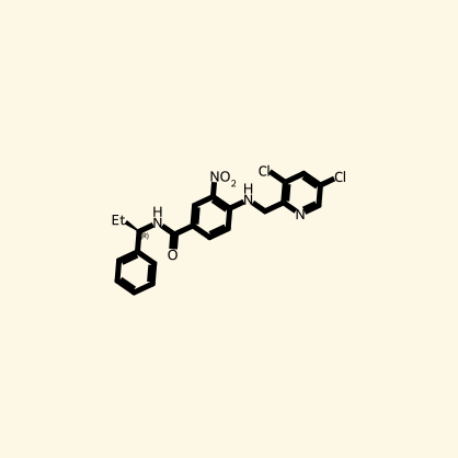 CC[C@@H](NC(=O)c1ccc(NCc2ncc(Cl)cc2Cl)c([N+](=O)[O-])c1)c1ccccc1